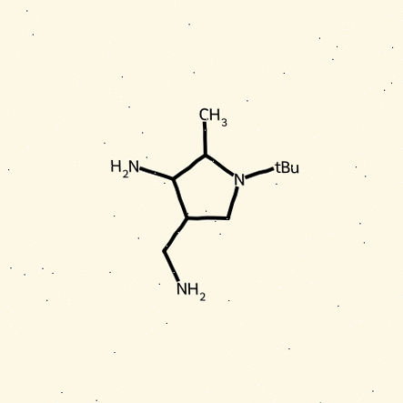 CC1C(N)C(CN)CN1C(C)(C)C